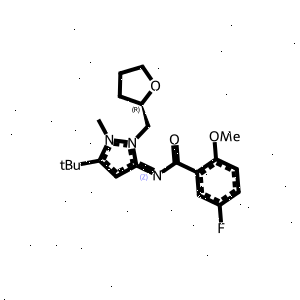 COc1ccc(F)cc1C(=O)/N=c1/cc(C(C)(C)C)n(C)n1C[C@H]1CCCO1